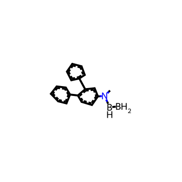 BBN(C)c1ccc(-c2ccccc2)c(-c2ccccc2)c1